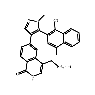 Cl.Cn1ncc(-c2ccc3c(=O)[nH]cc(CN)c3c2)c1-c1cc(Cl)c2ccccc2c1C#N